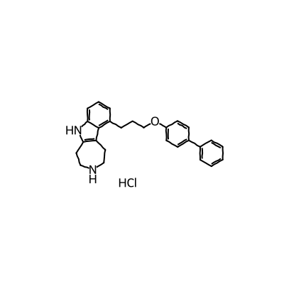 Cl.c1ccc(-c2ccc(OCCCc3cccc4[nH]c5c(c34)CCNCC5)cc2)cc1